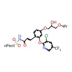 CCCCCS(=O)(=O)NC(=O)C=Cc1ccc(OCC(O)COC(C)C)cc1Oc1ncc(C(F)(F)F)cc1Cl